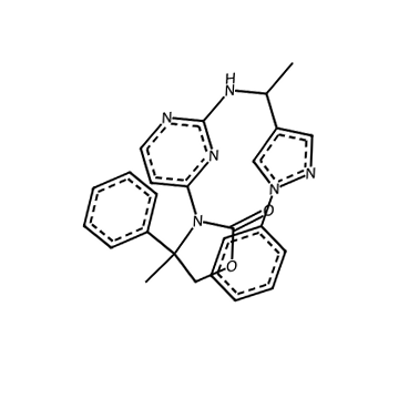 CC(Nc1nccc(N2C(=O)OCC2(C)c2ccccc2)n1)c1cnn(-c2ccccc2)c1